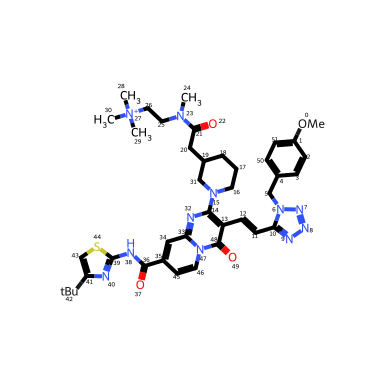 COc1ccc(Cn2nnnc2C=Cc2c(N3CCCC(CC(=O)N(C)CC[N+](C)(C)C)C3)nc3cc(C(=O)Nc4nc(C(C)(C)C)cs4)ccn3c2=O)cc1